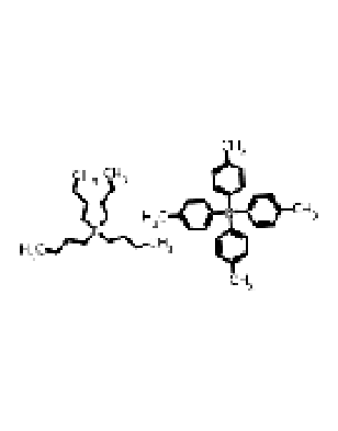 CCCC[P+](CCCC)(CCCC)CCCC.Cc1ccc([B-](c2ccc(C)cc2)(c2ccc(C)cc2)c2ccc(C)cc2)cc1